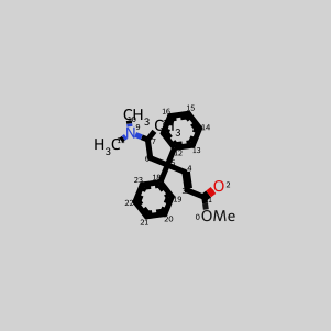 COC(=O)C=CC(CC(C)N(C)C)(c1ccccc1)c1ccccc1